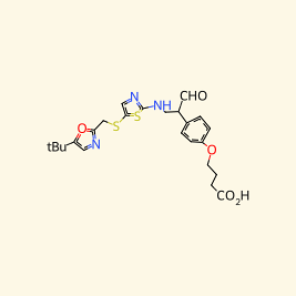 CC(C)(C)c1cnc(CSc2cnc(NCC(C=O)c3ccc(OCCCC(=O)O)cc3)s2)o1